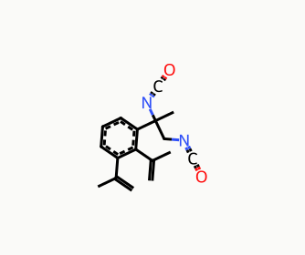 C=C(C)c1cccc(C(C)(CN=C=O)N=C=O)c1C(=C)C